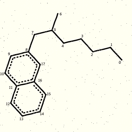 CCCCCC(C)[CH]c1ccc2ccccc2c1